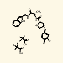 C[C@H](NC(=O)[C@H]1C[C@H](Cc2ccc(F)c(Cl)c2)CN1)C(=O)NCc1cc2cnccc2[nH]1.O=C(O)C(F)(F)F.O=C(O)C(F)(F)F